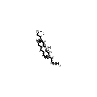 NCCCCCN.NCCNCCNCCNCCN